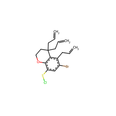 C=CCc1c(Br)cc(SCl)c2c1C(CC=C)(CC=C)CCO2